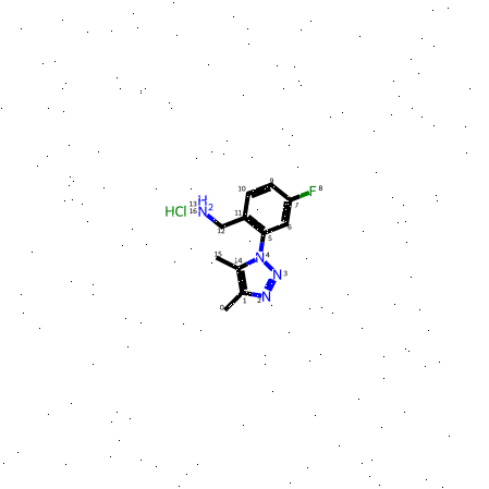 Cc1nnn(-c2cc(F)ccc2CN)c1C.Cl